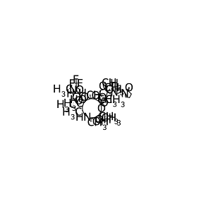 CC[C@H]1OC(=O)[C@H](C)[C@@H](O[C@H]2C[C@@](C)(OC)[C@](O)(CNCCN3CCCC3=O)[C@H](C)O2)[C@H](C)[C@@H](O[C@@H]2O[C@H](C)C[C@H]3[C@H]2OC(C(F)(F)F)N3C)[C@](C)(O)C[C@@H](C)CN[C@H](C)[C@@H](O)[C@]1(C)O